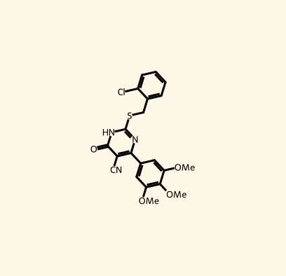 COc1cc(-c2nc(SCc3ccccc3Cl)[nH]c(=O)c2C#N)cc(OC)c1OC